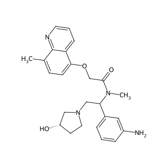 Cc1ccc(OCC(=O)N(C)C(CN2CC[C@H](O)C2)c2cccc(N)c2)c2cccnc12